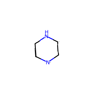 [CH]1C[N]CCN1